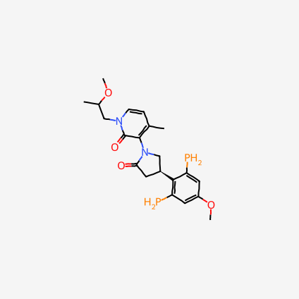 COc1cc(P)c([C@H]2CC(=O)N(c3c(C)ccn(CC(C)OC)c3=O)C2)c(P)c1